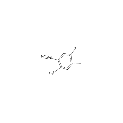 Cc1cc(P)c([N+]#N)cc1F